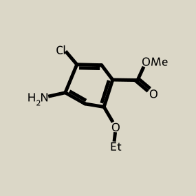 CCOc1cc(N)c(Cl)cc1C(=O)OC